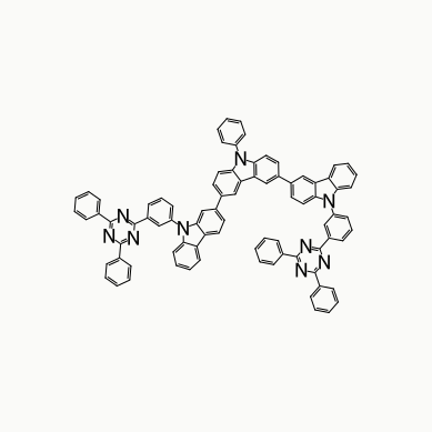 c1ccc(-c2nc(-c3ccccc3)nc(-c3cccc(-n4c5ccccc5c5cc(-c6ccc7c(c6)c6cc(-c8ccc9c%10ccccc%10n(-c%10cccc(-c%11nc(-c%12ccccc%12)nc(-c%12ccccc%12)n%11)c%10)c9c8)ccc6n7-c6ccccc6)ccc54)c3)n2)cc1